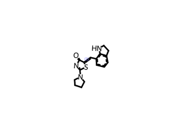 O=C1N=C(N2CCCC2)S/C1=C\c1cccc2c1NCC2